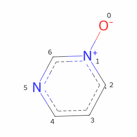 [O-][n+]1[c]ccnc1